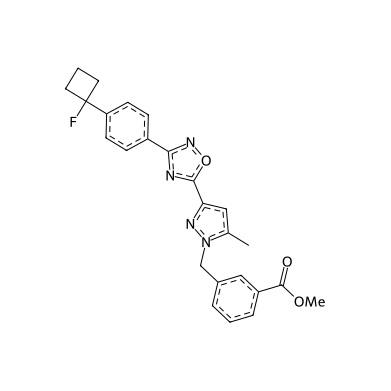 COC(=O)c1cccc(Cn2nc(-c3nc(-c4ccc(C5(F)CCC5)cc4)no3)cc2C)c1